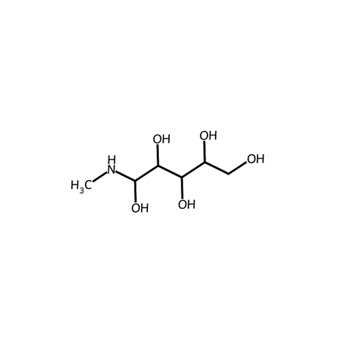 CNC(O)C(O)C(O)C(O)CO